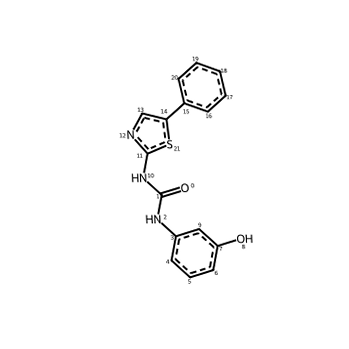 O=C(Nc1cccc(O)c1)Nc1ncc(-c2ccccc2)s1